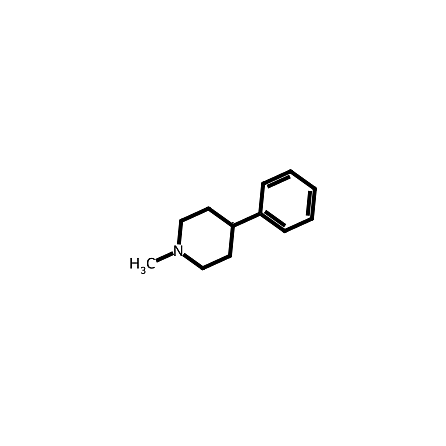 CN1CC[C](c2ccccc2)CC1